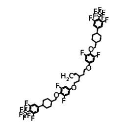 C=CC(CCOc1cc(F)c(OCC2CCC(c3cc(F)c(S(F)(F)(F)(F)F)c(F)c3)CC2)c(F)c1)CCOc1cc(F)c(OCC2CCC(c3cc(F)c(S(F)(F)(F)(F)F)c(F)c3)CC2)c(F)c1